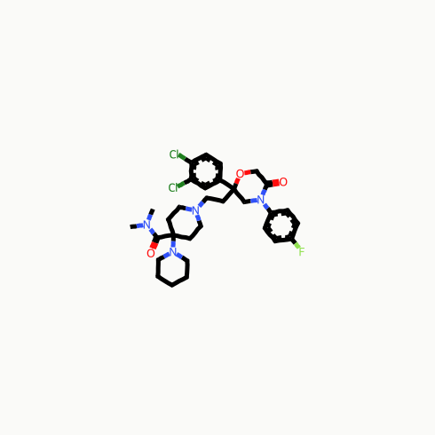 CN(C)C(=O)C1(N2CCCCC2)CCN(CCC2(c3ccc(Cl)c(Cl)c3)CN(c3ccc(F)cc3)C(=O)CO2)CC1